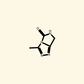 Cc1nnc2n1C(=O)NC2